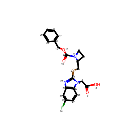 O=C(O)Cn1c(SCC2CCN2C(=O)OCc2ccccc2)nc2cc(F)ccc21